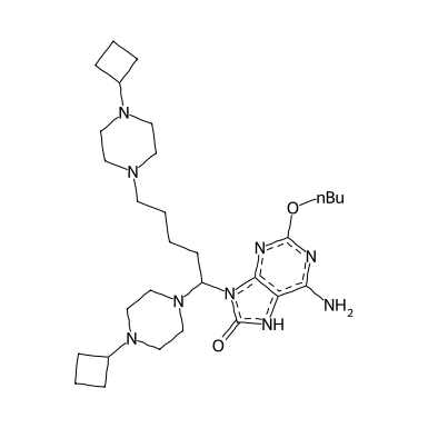 CCCCOc1nc(N)c2[nH]c(=O)n(C(CCCCN3CCN(C4CCC4)CC3)N3CCN(C4CCC4)CC3)c2n1